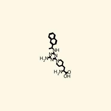 CC(Nc1nc(N)nc(N2CCC(CC(N)C(=O)O)CC2)n1)c1ccc2ccccc2c1